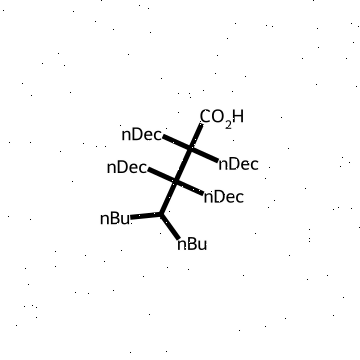 CCCCCCCCCCC(CCCCCCCCCC)([C](CCCC)CCCC)C(CCCCCCCCCC)(CCCCCCCCCC)C(=O)O